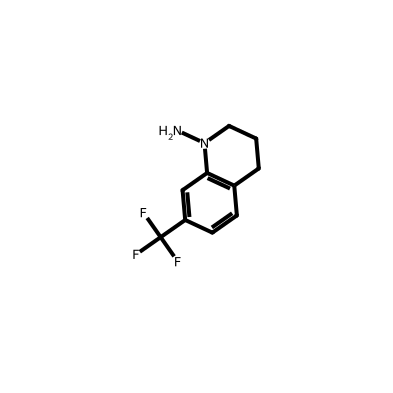 NN1CCCc2ccc(C(F)(F)F)cc21